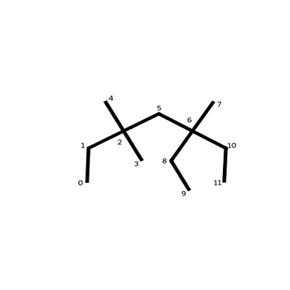 CCC(C)(C)CC(C)(CC)CC